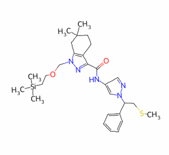 CSCC(c1ccccc1)n1cc(NC(=O)c2nn(COCC[Si](C)(C)C)c3c2CCC(C)(C)C3)cn1